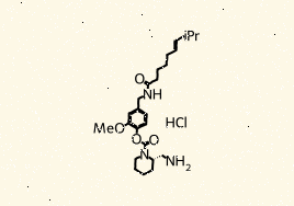 COc1cc(CNC(=O)CCCC/C=C/C(C)C)ccc1OC(=O)N1CCCC[C@H]1CN.Cl